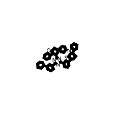 c1ccc(-c2cccc(-c3nc(-c4cccc5c4sc4c5ccc5c6ccccc6n(-c6ccccc6)c54)nc(-c4cccc5oc6ccccc6c45)n3)c2)cc1